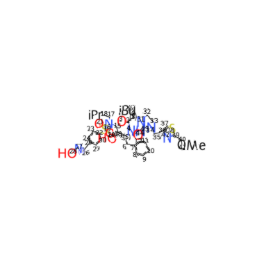 CC[C@H](C)[C@@H](C(=O)N[C@@H](Cc1ccccc1)[C@H](O)CN(CC(C)C)S(=O)(=O)c1ccc(/C=N/O)cc1)N1CCN(Cc2csc(COC)n2)C1=O